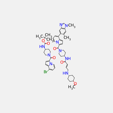 CC(C)(C)OC(=O)NC1CCN(C(=O)c2ccc3c(Br)cccn23)CC1.CO[C@H]1CC[C@H](NC/C=C/C(=O)NC2CCN(C(=O)c3ccc4c(-c5cc6ncn(C)c6cc5C)cccn34)CC2)CC1